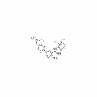 CN(C)Cc1ccc(-c2cnc(N)c(C(=N)Nc3cccc(F)c3F)n2)cc1